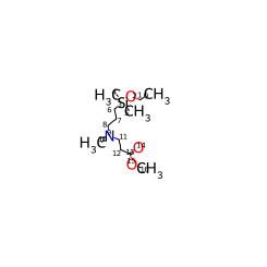 CCO[Si](C)(C)CCCN(C)CCC(=O)OC